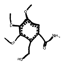 COc1cc(C(N)=O)c(CO)c(OC)c1OC